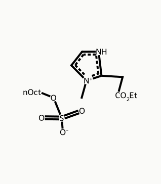 CCCCCCCCOS(=O)(=O)[O-].CCOC(=O)Cc1[nH]cc[n+]1C